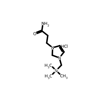 C[Si](C)(C)CN1C=CN(CCC(N)=O)C1.Cl